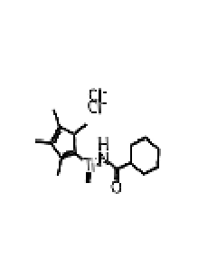 [CH2]=[Ti+2]([NH]C(=O)C1CCCCC1)[C]1=C(C)C(C)=C(C)C1C.[Cl-].[Cl-]